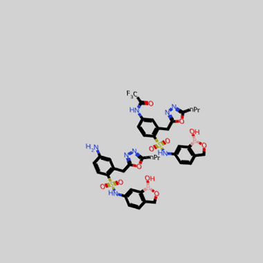 CCCc1nnc(Cc2cc(N)ccc2S(=O)(=O)Nc2ccc3c(c2)B(O)OC3)o1.CCCc1nnc(Cc2cc(NC(=O)C(F)(F)F)ccc2S(=O)(=O)Nc2ccc3c(c2)B(O)OC3)o1